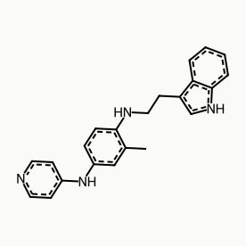 Cc1cc(Nc2ccncc2)ccc1NCCc1c[nH]c2ccccc12